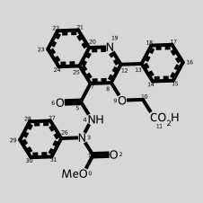 COC(=O)N(NC(=O)c1c(OCC(=O)O)c(-c2ccccc2)nc2ccccc12)c1ccccc1